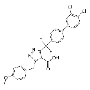 COc1ccc(Cn2nnc(C(F)(F)c3ccc(-c4ccc(Cl)c(Cl)c4)cc3)c2C(=O)O)cc1